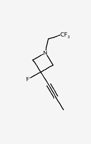 CC#CC1(F)CN(CC(F)(F)F)C1